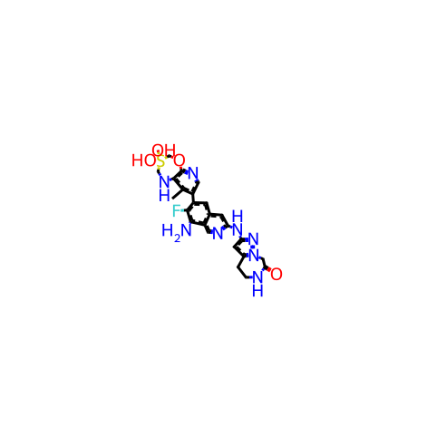 Cc1c(-c2cc3cc(Nc4cc5n(n4)CC(=O)NCC5)ncc3c(N)c2F)cnc2c1NCS(O)(O)CO2